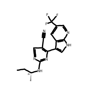 CC[C@@H](C)Nc1ncc(C#N)c(-c2c[nH]c3ncc(C(F)(F)F)cc23)n1